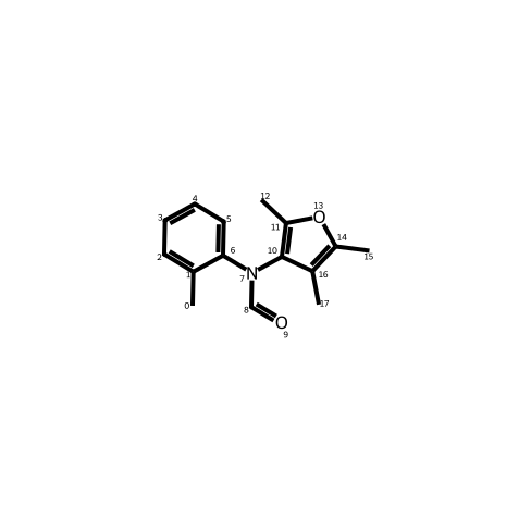 Cc1ccccc1N(C=O)c1c(C)oc(C)c1C